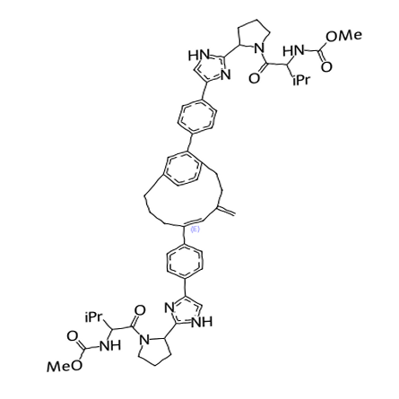 C=C1/C=C(/c2ccc(-c3c[nH]c(C4CCCN4C(=O)C(NC(=O)OC)C(C)C)n3)cc2)CCCc2ccc(c(-c3ccc(-c4c[nH]c(C5CCCN5C(=O)C(NC(=O)OC)C(C)C)n4)cc3)c2)CC1